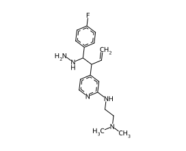 C=CC(c1ccnc(NCCN(C)C)c1)C(NN)c1ccc(F)cc1